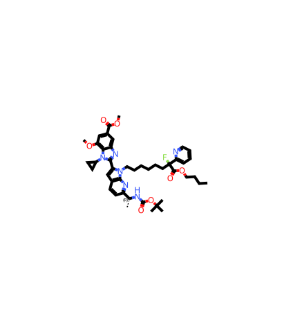 CCCCOC(=O)C(F)(CCCCCCn1c(-c2nc3cc(C(=O)OC)cc(OC)c3n2C2CC2)cc2ccc([C@@H](C)NC(=O)OC(C)(C)C)nc21)c1ccccn1